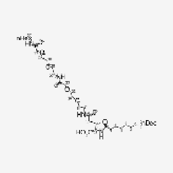 CCCCCCCCCCCCCCCCCC(=O)N[C@@H](CCC(=O)NCCOCCOCC(=O)NCCOCCOCC(=O)NCCCCCC)C(=O)O